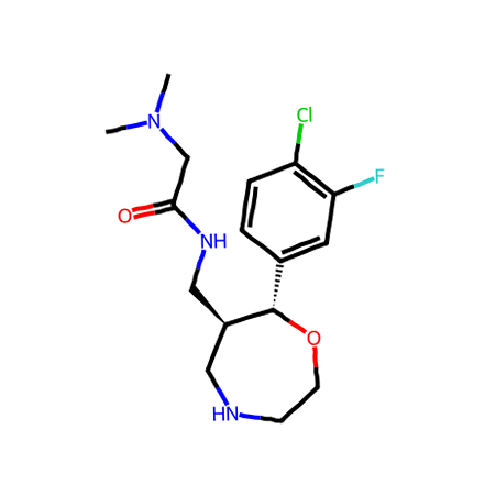 CN(C)CC(=O)NC[C@@H]1CNCCO[C@H]1c1ccc(Cl)c(F)c1